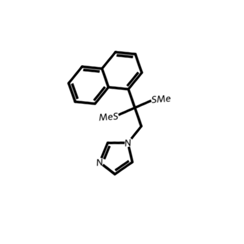 CSC(Cn1ccnc1)(SC)c1cccc2ccccc12